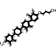 CCCCOc1ccc(-c2ccc(C3=CCC(c4ccc(C)c(F)c4F)CC3)c(F)c2F)c(F)c1F